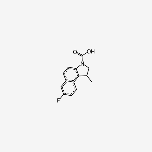 CC1CN(C(=O)O)c2ccc3cc(F)ccc3c21